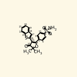 CC1(C)OC(c2ccc(S(N)(=O)=O)cc2)=C(c2cc3ccccc3s2)C1=O